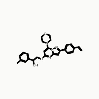 C=Cc1ccc(-c2cc3nc(OCC(O)c4cccc(C)c4)cc(N4CCOCC4)n3n2)cc1